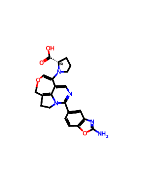 Nc1nc2cc(C3=NC=C4C(N5CCC[C@H]5C(=O)O)=COCC5=C4N3CC5)ccc2o1